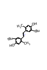 Cc1cc(O)c(C(C)(C)C)cc1/C=C/c1cc(C(C)(C)C)c(O)cc1C